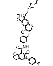 COc1cc2c(Oc3ccc(NC(=O)c4c5c(cn(-c6ccc(F)cc6)c4=O)CCO5)cc3F)ccnc2cc1OCCN1CC(F)C1